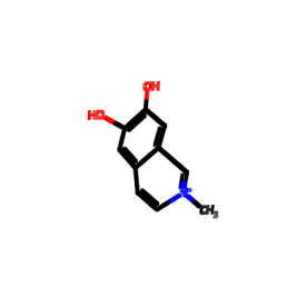 C[n+]1ccc2cc(O)c(O)cc2c1